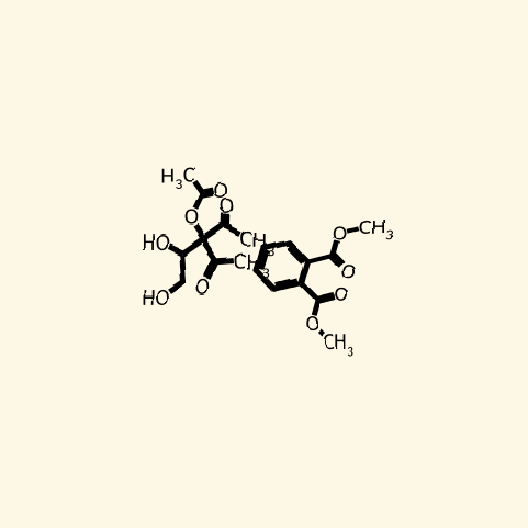 CC(=O)OC(C(C)=O)(C(C)=O)C(O)CO.COC(=O)c1ccccc1C(=O)OC